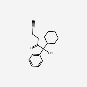 C#CCCC(=O)C(O)(c1ccccc1)C1CCCCC1